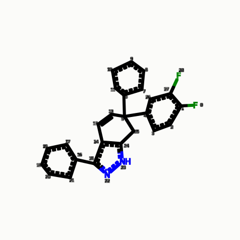 Fc1ccc(C2(c3ccccc3)C=Cc3c(-c4ccccc4)n[nH]c3C2)cc1F